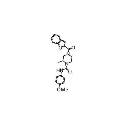 COc1ccc(NC(=O)N2CCN(C(=O)c3cc4ccccc4o3)CC2C)cc1